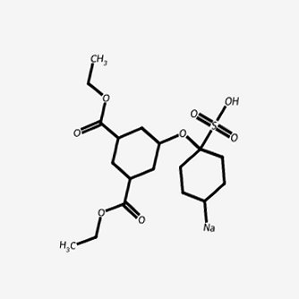 CCOC(=O)C1CC(OC2(S(=O)(=O)O)CC[CH]([Na])CC2)CC(C(=O)OCC)C1